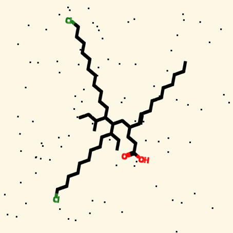 CCCCCCCC/C=C/C(CCC(=O)O)CC(C(CC)CCCCCCCCCCl)C(CCCCCCCCCCCCl)C(C)CC